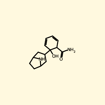 NC(=O)C1C=CC=CC1(O)C1CC2CCC(C1)N2